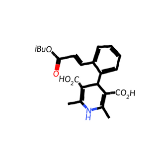 CC1=C(C(=O)O)C(c2ccccc2C=CC(=O)OCC(C)C)C(C(=O)O)=C(C)N1